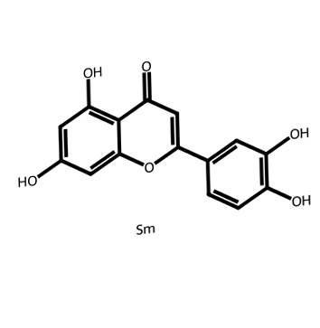 O=c1cc(-c2ccc(O)c(O)c2)oc2cc(O)cc(O)c12.[Sm]